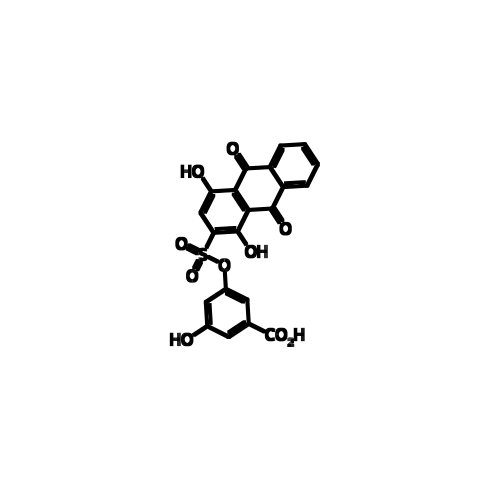 O=C(O)c1cc(O)cc(OS(=O)(=O)c2cc(O)c3c(c2O)C(=O)c2ccccc2C3=O)c1